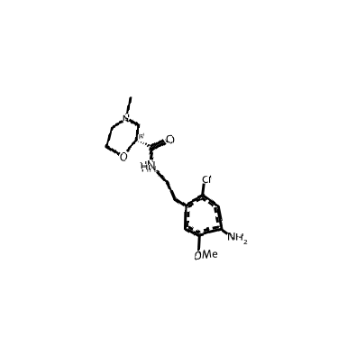 COc1cc(CCNC(=O)[C@H]2CN(C)CCO2)c(Cl)cc1N